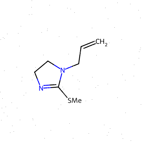 C=CCN1CCN=C1SC